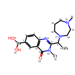 CCCC(c1nc2ccc(B(O)O)cc2c(=O)n1CC)N1CCCN(C)CC1